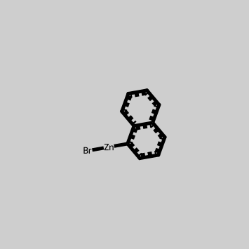 [Br][Zn][c]1cccc2ccccc12